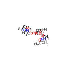 C=C(C)C(=O)NCC(C)OCCOC(=O)C(C(=O)O)C(C)(C(=O)O)C(=O)OCCOC(C)CNC(=O)C(=C)C